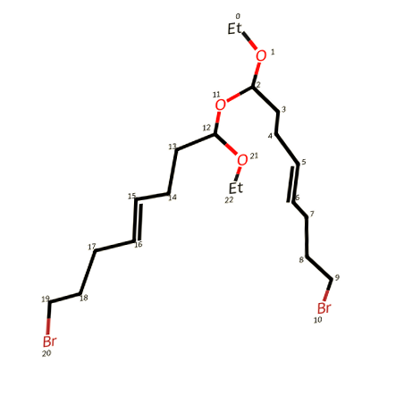 CCOC(CCC=CCCCBr)OC(CCC=CCCCBr)OCC